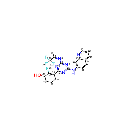 C/C(=N/c1nc(Nc2ccc3cccnc3c2)nc(C2=C(F)C(O)CCC2)n1)C(F)(F)F